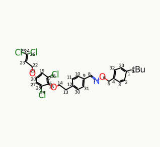 CC(C)(C)c1ccc(CON=Cc2ccc(CCOc3c(Cl)cc(OCC=C(Cl)Cl)cc3Cl)cc2)cc1